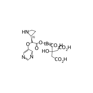 CC(C)(C)OC(=O)C(Oc1cncnc1)[C@@H]1CCN1.O=C(O)CC(O)(CC(=O)O)C(=O)O